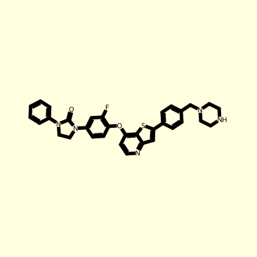 O=C1N(c2ccccc2)CCN1c1ccc(Oc2ccnc3cc(-c4ccc(CN5CCNCC5)cc4)sc23)c(F)c1